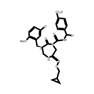 CCC(NC(=O)N1C/C(=N/OCC2CC2)NC[C@@H](Cc2cc(Cl)ccc2OC)C1=O)c1ccc(C(=O)O)cc1